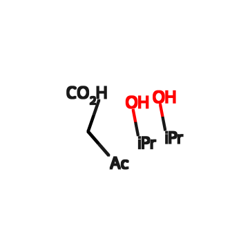 CC(=O)CC(=O)O.CC(C)O.CC(C)O